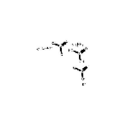 N.N.O=[Si](O)O.O=[Si]([O-])[O-].O=[Si]([O-])[O-].[K+].[K+].[Na+].[Na+]